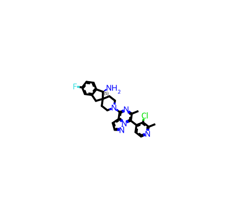 Cc1nccc(-c2c(C)nc(N3CCC4(CC3)Cc3cc(F)ccc3[C@H]4N)c3ccnn23)c1Cl